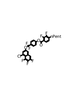 CCCCCc1ccc(C(=O)Oc2ccc(C(F)(F)Oc3cc(Cl)c4c(F)c(F)c(F)cc4c3)cc2)c(F)c1F